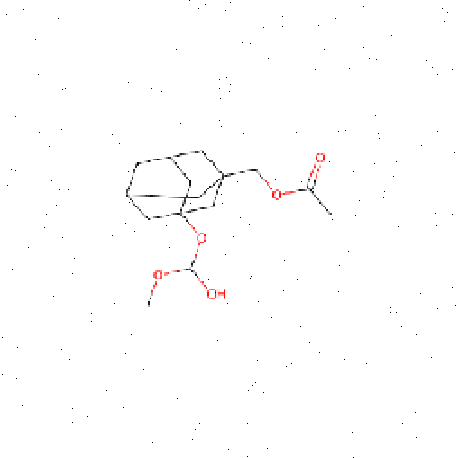 COC(O)OC12CC3CC(CC(COC(C)=O)(C3)C1)C2